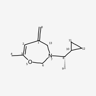 C=C1C=C(C)OCN([C@@H](C)C2CC2)C1